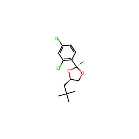 CC(C)(C)C[C@@H]1CO[C@](C)(c2ccc(Cl)cc2Cl)O1